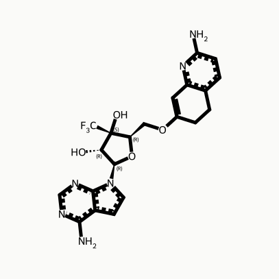 Nc1ccc2c(n1)C=C(OC[C@H]1O[C@@H](n3ccc4c(N)ncnc43)[C@H](O)[C@@]1(O)C(F)(F)F)CC2